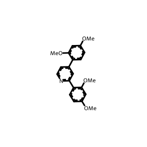 COc1ccc(-c2ccnc(-c3ccc(OC)cc3OC)c2)c(OC)c1